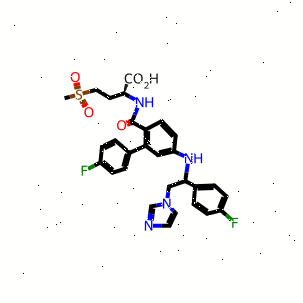 CS(=O)(=O)CC[C@H](NC(=O)c1ccc(NC(Cn2ccnc2)c2ccc(F)cc2)cc1-c1ccc(F)cc1)C(=O)O